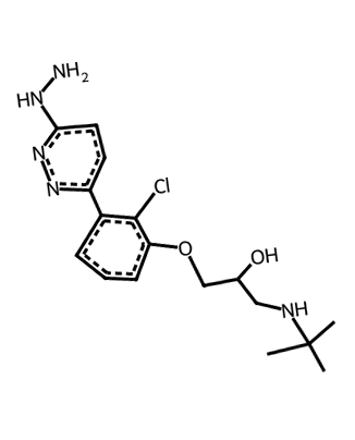 CC(C)(C)NCC(O)COc1cccc(-c2ccc(NN)nn2)c1Cl